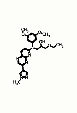 CCOCC(O)CN(c1cc(OC)cc(OC)c1)c1ccc2ncc(-c3cnn(C)c3)nc2n1